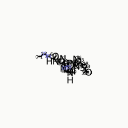 C=C/C=C\C=C(/C)CC(=O)Nc1cncc(C(=N/C)/C(F)=c2/c(-c3nc4c(-c5ccc(C(C)=O)s5)ccnc4[nH]3)n[nH]c2=C)c1